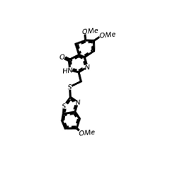 COc1ccc2sc(SCc3nc4cc(OC)c(OC)cc4c(=O)[nH]3)nc2c1